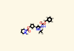 CN1CCCCN1C(=O)O[C@@H]1CC[C@H](c2cc(NC(=O)OCc3ccccc3)n(C(C)(C)C)n2)C1